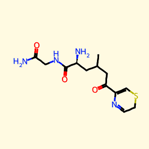 CC(CC(=O)C1=CSCC=N1)C[C@H](N)C(=O)NCC(N)=O